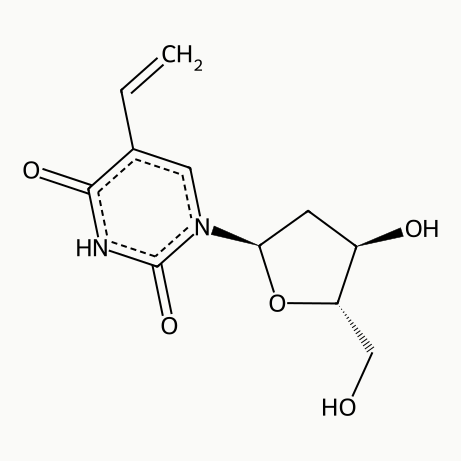 C=Cc1cn([C@H]2C[C@@H](O)[C@H](CO)O2)c(=O)[nH]c1=O